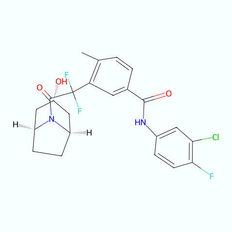 Cc1ccc(C(=O)Nc2ccc(F)c(Cl)c2)cc1C(F)(F)C(=O)N1[C@@H]2CC[C@H]1C[C@H](O)C2